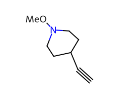 C#CC1CCN(OC)CC1